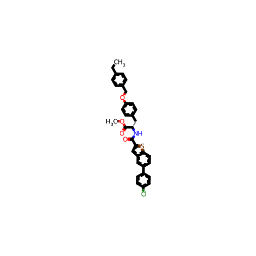 CCc1ccc(COc2ccc(C[C@H](NC(=O)c3cc4cc(-c5ccc(Cl)cc5)ccc4s3)C(=O)OC)cc2)cc1